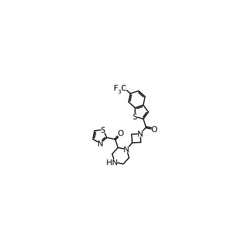 O=C(c1nccs1)C1CNCCN1C1CN(C(=O)c2cc3ccc(C(F)(F)F)cc3s2)C1